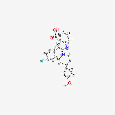 COc1ccc(C2CCN(c3nc4cccc(C(=O)O)c4nc3-c3ccc(F)cc3)CC2)cc1